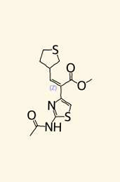 COC(=O)/C(=C\C1CCSC1)c1csc(NC(C)=O)n1